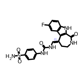 NS(=O)(=O)c1ccc(NC(=O)N/C=C2\CCNC(=O)c3[nH]c4ccc(F)cc4c32)cc1